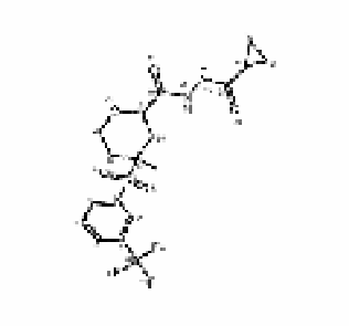 CC1(S(=O)(=O)c2cccc(C(F)(F)F)c2)CCOC(C(=O)NNC(=O)C2CC2)C1